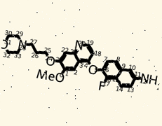 COc1cc2c(Oc3ccc4cc(N)ccc4c3F)ccnc2cc1OCCCN1CCOCC1